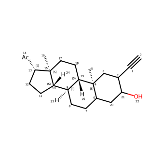 C#CC1C[C@@]2(C)C(CC[C@H]3[C@@H]4CC[C@H](C(C)=O)[C@@]4(C)CC[C@@H]32)CC1O